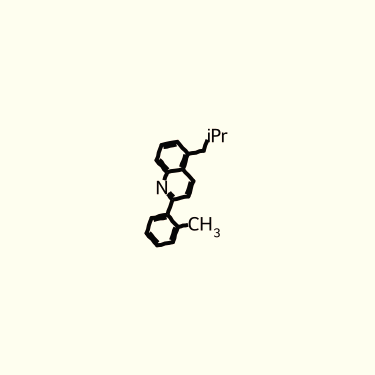 Cc1ccccc1-c1ccc2c(CC(C)C)cccc2n1